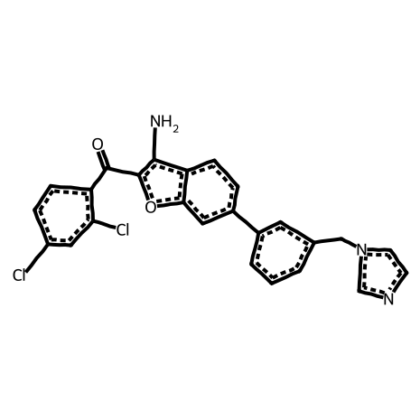 Nc1c(C(=O)c2ccc(Cl)cc2Cl)oc2cc(-c3cccc(Cn4ccnc4)c3)ccc12